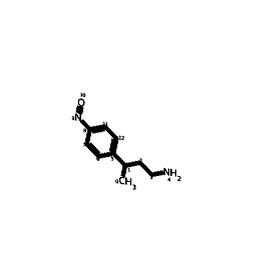 CC(CCN)c1ccc(N=O)cc1